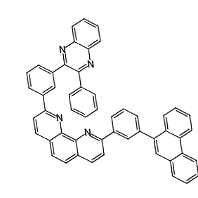 c1ccc(-c2nc3ccccc3nc2-c2cccc(-c3ccc4ccc5ccc(-c6cccc(-c7cc8ccccc8c8ccccc78)c6)nc5c4n3)c2)cc1